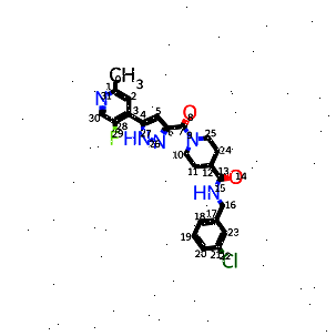 Cc1cc(-c2cc(C(=O)N3CCC(C(=O)NCc4cccc(Cl)c4)CC3)n[nH]2)c(F)cn1